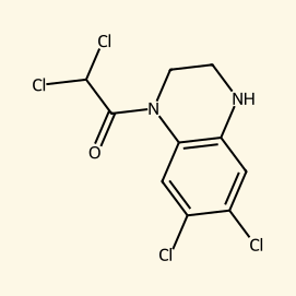 O=C(C(Cl)Cl)N1CCNc2cc(Cl)c(Cl)cc21